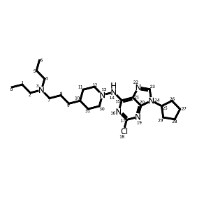 CCCN(CCC)CCCC1CCN(Nc2nc(Cl)nc3c2ncn3C2CCCC2)CC1